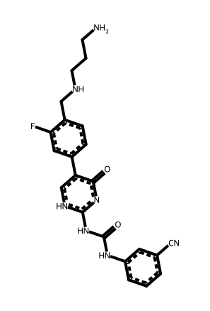 N#Cc1cccc(NC(=O)Nc2nc(=O)c(-c3ccc(CNCCCN)c(F)c3)c[nH]2)c1